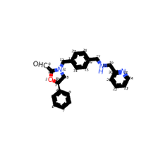 O=CC1O[C@H](c2ccccc2)CN1Cc1ccc(CNCc2ccccn2)cc1